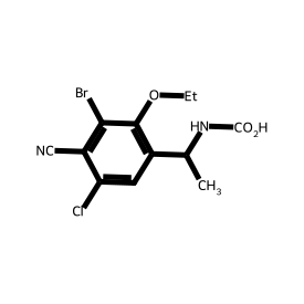 CCOc1c(C(C)NC(=O)O)cc(Cl)c(C#N)c1Br